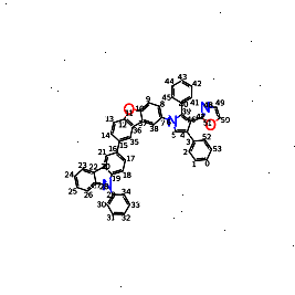 c1ccc(-c2cn(-c3ccc4oc5ccc(-c6ccc7c(c6)c6ccccc6n7-c6ccccc6)cc5c4c3)c(-c3ccccc3)c2-c2ncco2)cc1